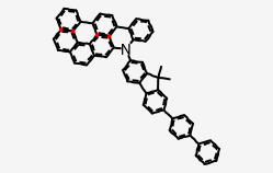 CC1(C)c2cc(-c3ccc(-c4ccccc4)cc3)ccc2-c2ccc(N(c3ccc4c(ccc5ccccc54)c3)c3ccccc3-c3ccc(-c4ccccc4)cc3)cc21